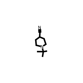 CC(C)(C)N1CCC(C#N)CC1